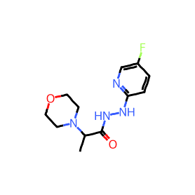 CC(C(=O)NNc1ccc(F)cn1)N1CCOCC1